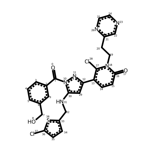 O=C(c1cccc(CO)c1)n1nc(-c2ccc(=O)n(CCc3cnccn3)c2Cl)cc1NCc1ccc(Cl)s1